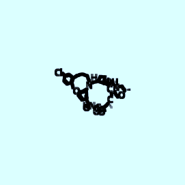 C[C@@H]1[C@@H](C)CCCC(O)(CN2CCO[C@@H](C)C2)[C@@H]2CC[C@H]2CN2CCCCc3cc(Cl)ccc3COc3ccc(cc32)C(=O)NS1(=O)=O